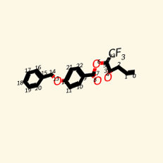 C=CCC(=O)C(OC(=O)c1ccc(OCc2ccccc2)cc1)C(F)(F)F